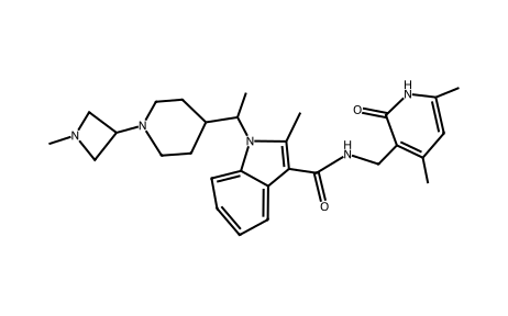 Cc1cc(C)c(CNC(=O)c2c(C)n(C(C)C3CCN(C4CN(C)C4)CC3)c3ccccc23)c(=O)[nH]1